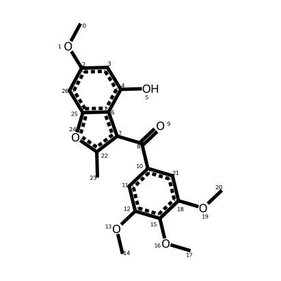 COc1cc(O)c2c(C(=O)c3cc(OC)c(OC)c(OC)c3)c(C)oc2c1